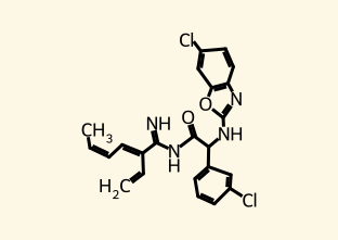 C=C/C(=C\C=C/C)C(=N)NC(=O)C(Nc1nc2ccc(Cl)cc2o1)c1cccc(Cl)c1